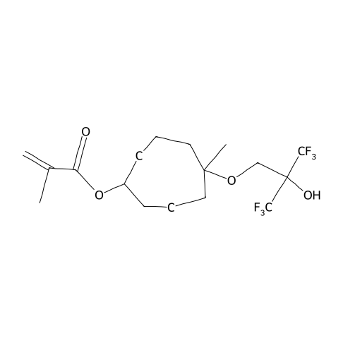 C=C(C)C(=O)OC1CCCC(C)(OCC(O)(C(F)(F)F)C(F)(F)F)CCC1